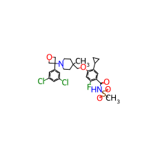 CC1(COc2cc(F)c(C(=O)NS(C)(=O)=O)cc2C2CC2)CCN(C2(c3cc(Cl)cc(Cl)c3)COC2)CC1